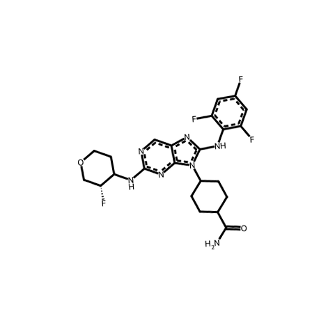 NC(=O)C1CCC(n2c(Nc3c(F)cc(F)cc3F)nc3cnc(NC4CCOC[C@H]4F)nc32)CC1